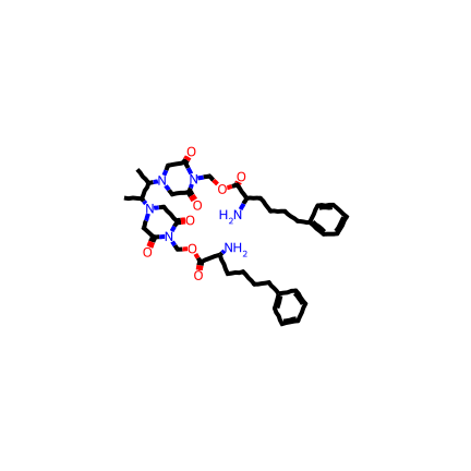 CC(C(C)N1CC(=O)N(COC(=O)C(N)CCCCc2ccccc2)C(=O)C1)N1CC(=O)N(COC(=O)C(N)CCCCc2ccccc2)C(=O)C1